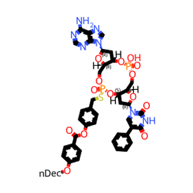 CCCCCCCCCCOc1ccc(C(=O)Oc2ccc(CSP3(=O)OC[C@H]4O[C@@H](n5cnc6c(N)ncnc65)C[C@@H]4OP(=O)(O)OC[C@H]4O[C@@H](n5cc(-c6ccccc6)c(=O)[nH]c5=O)C[C@@H]4O3)cc2)cc1